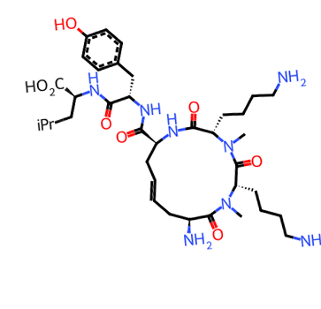 CC(C)C[C@H](NC(=O)[C@H](Cc1ccc(O)cc1)NC(=O)[C@@H]1C/C=C/C[C@H](N)C(=O)N(C)[C@@H](CCCCN)C(=O)N(C)[C@@H](CCCCN)C(=O)N1)C(=O)O